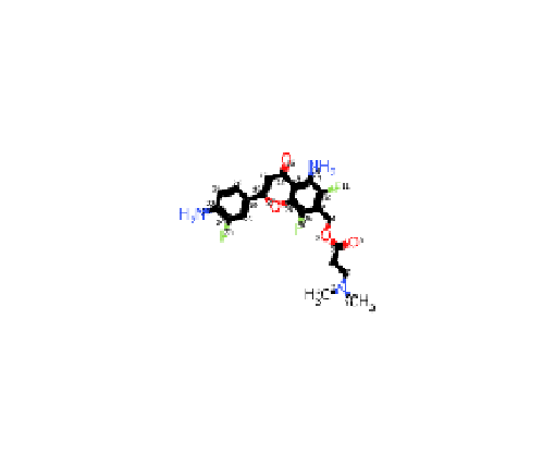 CN(C)CCC(=O)OCc1c(F)c(N)c2c(=O)cc(-c3ccc(N)c(F)c3)oc2c1F